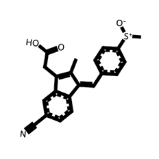 CC1=C(CC(=O)O)c2cc(C#N)ccc2C1=Cc1ccc([S+](C)[O-])cc1